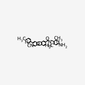 Cc1ccc(-c2ccc3c(c2)C2OC3c3ccc(C(=O)NCc4c(C)cc(N)nc4C)cc32)c(C#N)n1